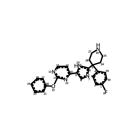 Fc1ccc(C2(c3ncc(-c4ccnc(Oc5ccccc5)n4)[nH]3)CCNCC2)cc1